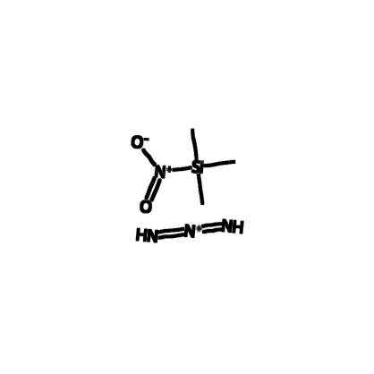 C[Si](C)(C)[N+](=O)[O-].N=[N+]=N